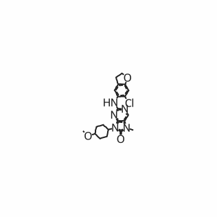 COC1CCC(n2c(=O)n(C)c3cnc(Nc4cc5c(cc4Cl)OCC5)nc32)CC1